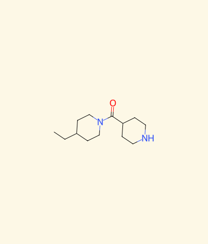 CCC1CCN(C(=O)C2CCNCC2)CC1